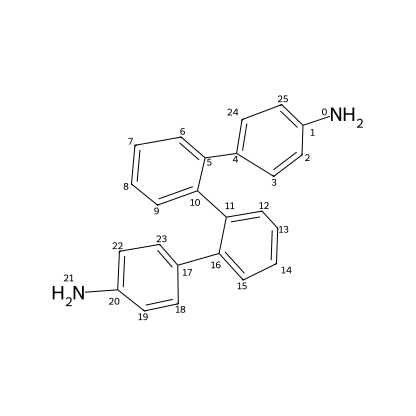 Nc1ccc(-c2ccccc2-c2ccccc2-c2ccc(N)cc2)cc1